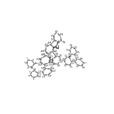 c1ccc2c(c1)-c1ccccc1-c1cccc(-c3cc(-c4ccc5c6ccccc6c6ccccc6c5c4)cc(-c4cccc5c4oc4ccccc45)c3)c1-c1ccccc1-2